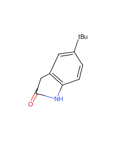 CC(C)(C)c1ccc2c(c1)CC(=O)N2